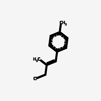 C/C(=C\c1ccc(C)cc1)CCl